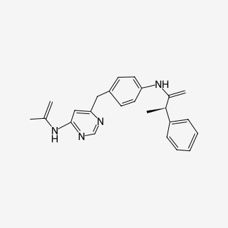 C=C(C)Nc1cc(Cc2ccc(NC(=C)[C@H](C)c3ccccc3)cc2)ncn1